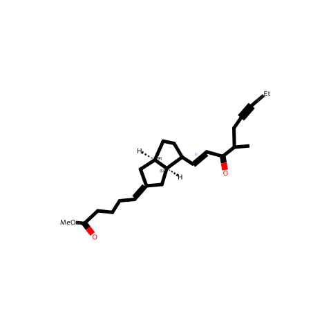 CCC#CCC(C)C(=O)/C=C/C1CC[C@@H]2CC(=CCCCC(=O)OC)C[C@H]12